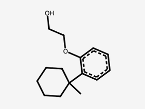 CC1(c2ccccc2OCCO)CCCCC1